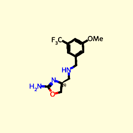 COc1cc(CNC[C@H]2COC(N)=N2)cc(C(F)(F)F)c1